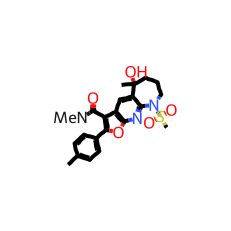 CNC(=O)c1c(-c2ccc(C)cc2)oc2nc3c(cc12)C(C)(O)CCCN3S(C)(=O)=O